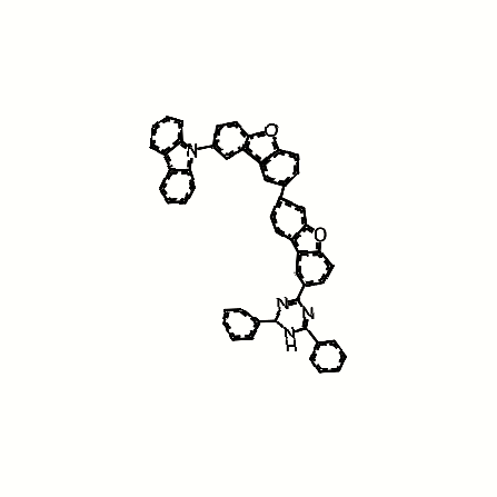 c1ccc(C2=NC(c3ccc4oc5cc(-c6ccc7oc8ccc(-n9c%10ccccc%10c%10ccccc%109)cc8c7c6)ccc5c4c3)=NC(c3ccccc3)N2)cc1